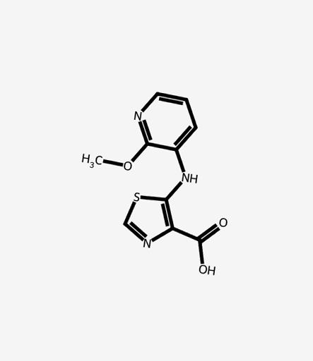 COc1ncccc1Nc1scnc1C(=O)O